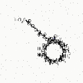 C/C=C/C[C@@H](C)C(OC(=O)OCOC(=O)CCC(=O)OCCOCCOCCOC(=O)CCC(=O)O)C1C(=O)NC(CC)C(=O)N(C)CC(=O)N(C)[C@@H](CC(C)C)C(=O)NC(C(C)C)C(=O)N(C)C(CC(C)C)C(=O)NC(C)C(=O)NC(C)C(=O)N(C)C(CC(C)C)C(=O)N(C)C(CC(C)C)C(=O)N(C)C(C(C)C)C(=O)N1C